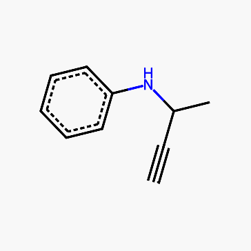 [C]#CC(C)Nc1ccccc1